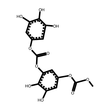 COC(=O)Oc1cc(O)c(O)c(OC(=O)Oc2cc(O)c(O)c(O)c2)c1